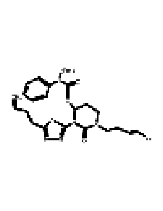 C=CCCc1nnc(N2C(=O)N(CCC=CCC)CCC2OC(=O)N(CCCCC)c2ccccc2)s1